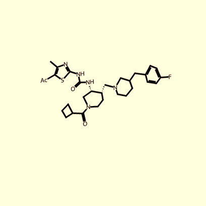 CC(=O)c1sc(NC(=O)N[C@H]2CN(C(=O)C3CCC3)CC[C@H]2CN2CCCC(Cc3ccc(F)cc3)C2)nc1C